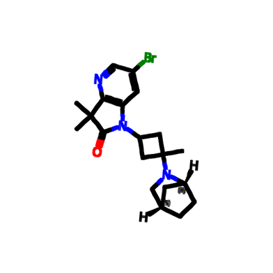 CC1(C)C(=O)N(C2CC(C)(N3C[C@H]4CC[C@@H]3C4)C2)c2cc(Br)cnc21